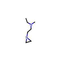 CCN(C)CCN1CC1